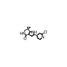 O=C1NCC2(CC2)c2[nH]c(-c3ccnc(Cl)c3)cc21